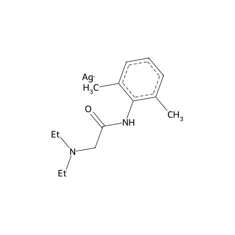 CCN(CC)CC(=O)Nc1c(C)cccc1C.[Ag]